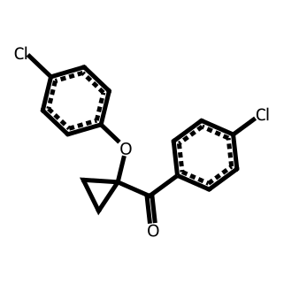 O=C(c1ccc(Cl)cc1)C1(Oc2ccc(Cl)cc2)CC1